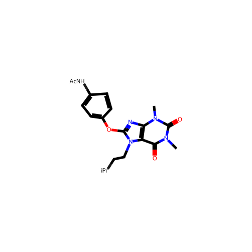 CC(=O)Nc1ccc(Oc2nc3c(c(=O)n(C)c(=O)n3C)n2CCC(C)C)cc1